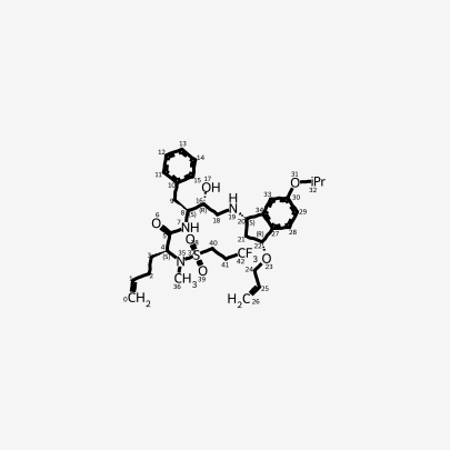 C=CCC[C@@H](C(=O)N[C@@H](Cc1ccccc1)[C@H](O)CN[C@H]1C[C@@H](OCC=C)c2ccc(OC(C)C)cc21)N(C)S(=O)(=O)CCC(F)(F)F